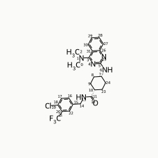 CN(C)c1nc(N[C@H]2CC[C@@H](C(=O)NCc3ccc(Cl)c(C(F)(F)F)c3)CC2)nc2ccccc12